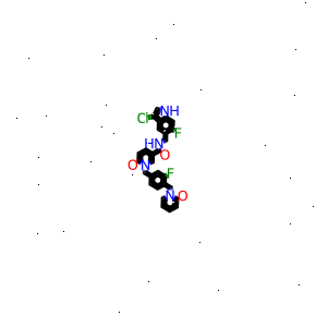 O=C(NCc1cc2c(Cl)c[nH]c2cc1F)c1ccc(=O)n(Cc2ccc(Cn3ccccc3=O)c(F)c2)c1